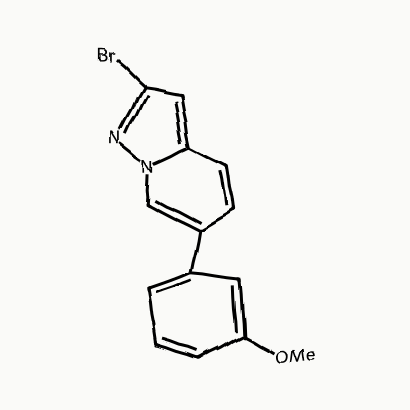 COc1cccc(-c2ccc3cc(Br)nn3c2)c1